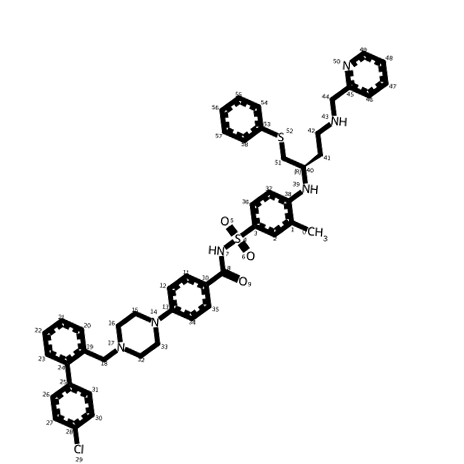 Cc1cc(S(=O)(=O)NC(=O)c2ccc(N3CCN(Cc4ccccc4-c4ccc(Cl)cc4)CC3)cc2)ccc1N[C@H](CCNCc1ccccn1)CSc1ccccc1